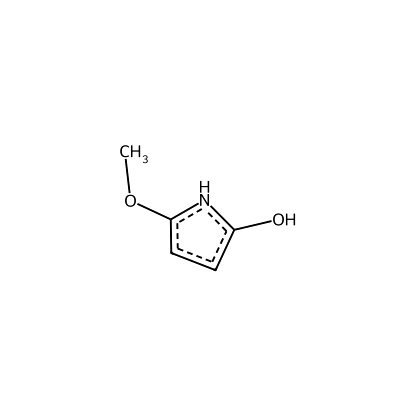 COc1ccc(O)[nH]1